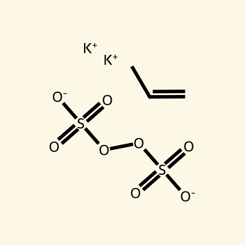 C=CC.O=S(=O)([O-])OOS(=O)(=O)[O-].[K+].[K+]